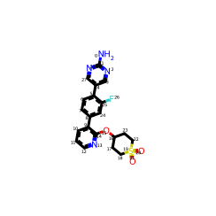 Nc1ncc(-c2ccc(-c3cccnc3OC3CCS(=O)(=O)CC3)cc2F)cn1